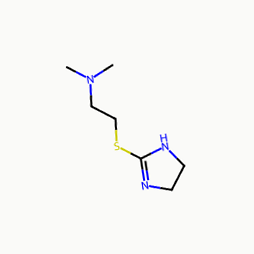 CN(C)CCSC1=NCCN1